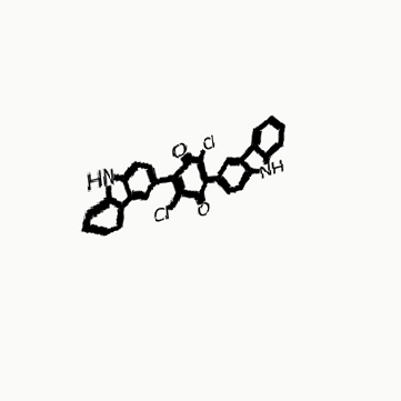 O=C1C(Cl)=C(c2ccc3[nH]c4ccccc4c3c2)C(=O)C(Cl)=C1c1ccc2[nH]c3ccccc3c2c1